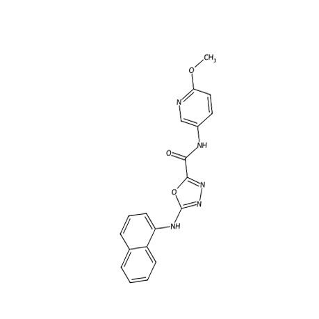 COc1ccc(NC(=O)c2nnc(Nc3cccc4ccccc34)o2)cn1